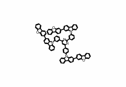 c1cc(-c2cc(-c3ccc(-n4c5ccccc5c5ccc(-c6ccc7c(c6)oc6ccccc67)cc54)cc3)nc(-c3cccc(-n4c5ccccc5c5ccc(-c6ccc7c(c6)oc6ccccc67)cc54)c3)n2)cc(-n2c3ccccc3c3ccc(-c4ccc5c(c4)oc4ccccc45)cc32)c1